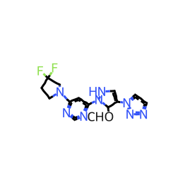 O=CC1C(n2ccnn2)=CNN1c1cc(N2CCC(F)(F)C2)ncn1